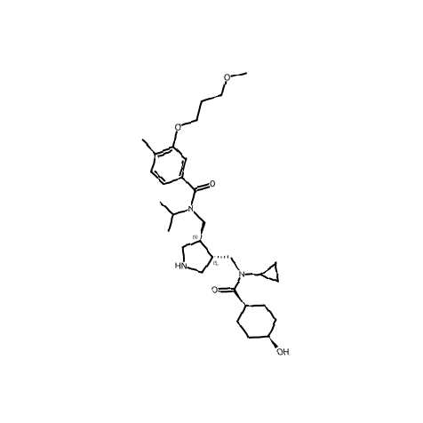 COCCCOc1cc(C(=O)N(C[C@@H]2CNC[C@H]2CN(C(=O)[C@H]2CC[C@@H](O)CC2)C2CC2)C(C)C)ccc1C